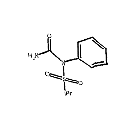 CC(C)S(=O)(=O)N(C(N)=O)c1ccccc1